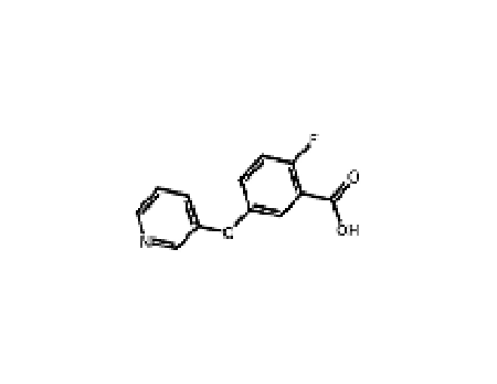 O=C(O)c1cc(Oc2cccnc2)ccc1F